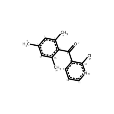 Cc1cc(C)c(C(=O)c2cccnc2Cl)c(C)c1